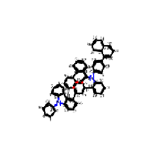 c1ccc(-n2c3ccccc3c3c(-c4cccc(-c5ccccc5N(c5ccc(-c6cccc7ccccc67)cc5)c5cc6ccccc6c6ccccc56)c4)cccc32)cc1